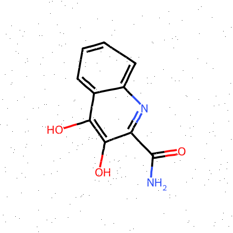 NC(=O)c1nc2ccccc2c(O)c1O